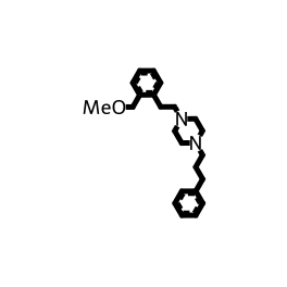 COCc1ccccc1CCN1CCN(CCCc2ccccc2)CC1